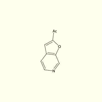 CC(=O)c1cc2ccncc2o1